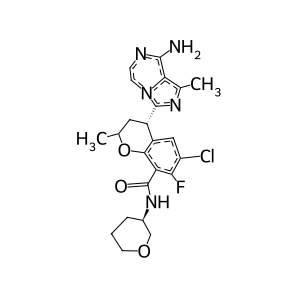 Cc1nc([C@H]2CC(C)Oc3c2cc(Cl)c(F)c3C(=O)N[C@@H]2CCCOC2)n2ccnc(N)c12